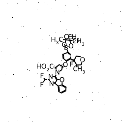 C[C@H]1COCC[C@]1(F)c1cc(B2OC(C)(C)C(C)(C)O2)ccc1O[C@H]1C[C@@H](C(=O)O)N(c2nc(C(F)F)nc3c2oc2ccccc23)C1